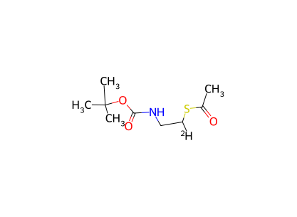 [2H]C(CNC(=O)OC(C)(C)C)SC(C)=O